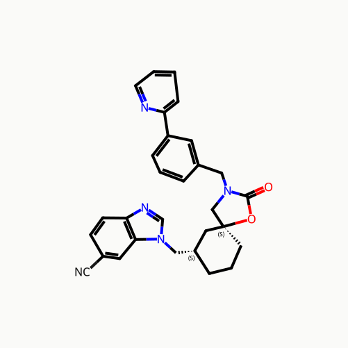 N#Cc1ccc2ncn(C[C@H]3CCC[C@]4(C3)CN(Cc3cccc(-c5ccccn5)c3)C(=O)O4)c2c1